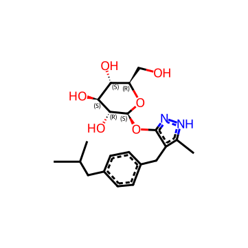 Cc1[nH]nc(O[C@@H]2O[C@H](CO)[C@@H](O)[C@H](O)[C@H]2O)c1Cc1ccc(CC(C)C)cc1